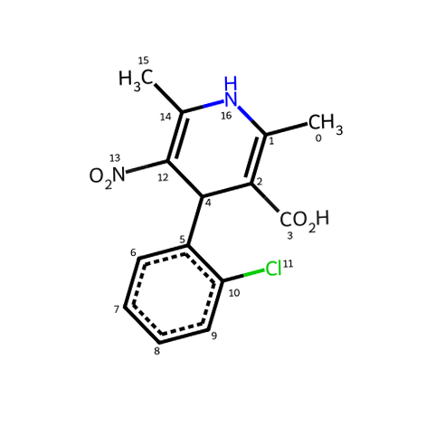 CC1=C(C(=O)O)C(c2ccccc2Cl)C([N+](=O)[O-])=C(C)N1